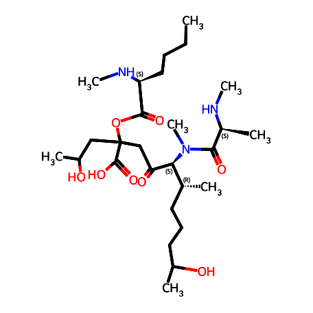 CCCC[C@H](NC)C(=O)OC(CC(=O)[C@H]([C@H](C)CCCC(C)O)N(C)C(=O)[C@H](C)NC)(CC(C)O)C(=O)O